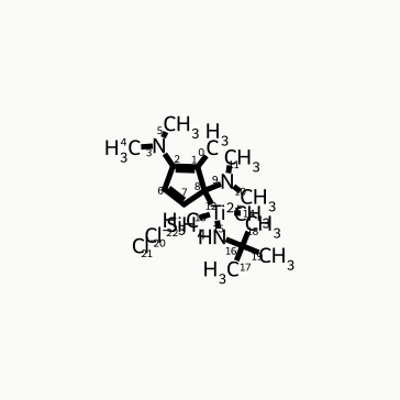 CC1=C(N(C)C)C=C[C]1(N(C)C)[Ti+2]([CH3])([CH3])[NH]C(C)(C)C.[Cl-].[Cl-].[SiH4]